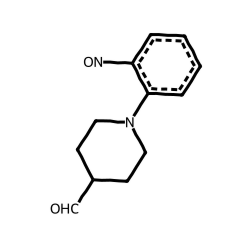 O=CC1CCN(c2ccccc2N=O)CC1